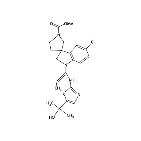 CC=C(Nc1ncc(C(C)(C)O)s1)N1CC2(CCN(C(=O)OC)C2)c2cc(Cl)ccc21